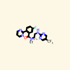 CCN(C(=O)c1cc(F)ccc1-c1ncccn1)[C@@H](C)CNc1ncc(C(F)(F)F)cn1